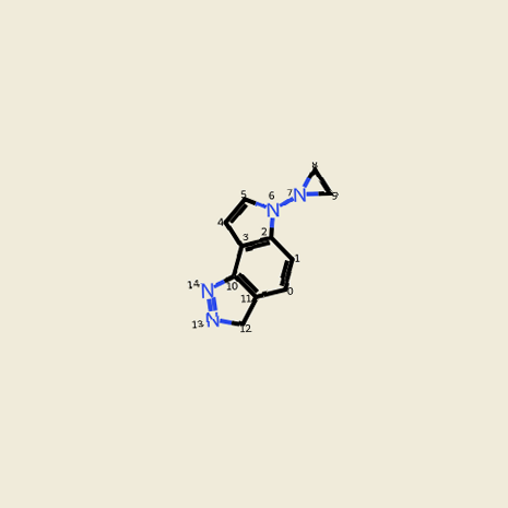 c1cc2c(ccn2N2CC2)c2c1CN=N2